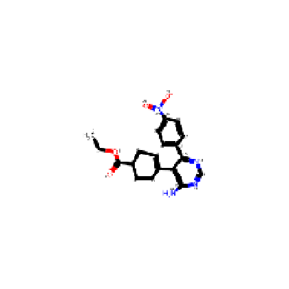 CCOC(=O)C1CC=C(c2c(N)ncnc2-c2ccc([N+](=O)[O-])cc2)CC1